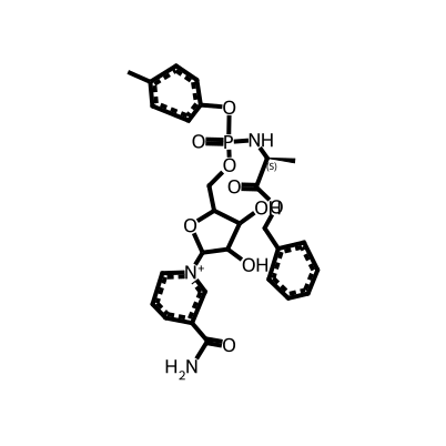 Cc1ccc(OP(=O)(N[C@@H](C)C(=O)OCc2ccccc2)OCC2OC([n+]3cccc(C(N)=O)c3)C(O)C2O)cc1